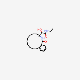 CCNC(=O)C(O)[C@@H]1CCCCCCCCCc2ccccc2C(=O)N1